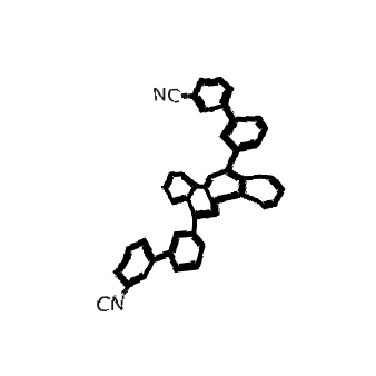 [C-]#[N+]c1cccc(-c2cccc(-c3cc4c5ccccc5c(-c5cccc(-c6cccc(C#N)c6)c5)cc4c4ccccc34)c2)c1